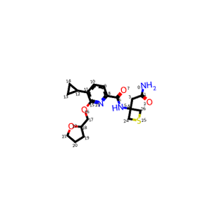 NC(=O)CC1(NC(=O)c2ccc(C3CC3)c(OCC3CCCO3)n2)CSC1